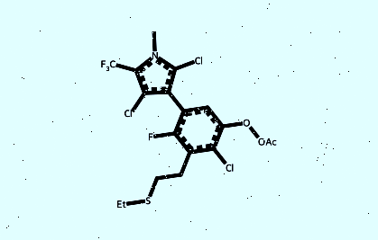 CCSCCc1c(F)c(-c2c(Cl)c(C(F)(F)F)n(C)c2Cl)cc(OOC(C)=O)c1Cl